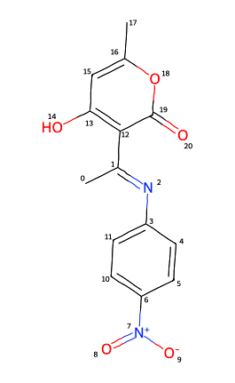 CC(=Nc1ccc([N+](=O)[O-])cc1)c1c(O)cc(C)oc1=O